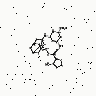 N#CC1CCCN1C(=O)COC12CC3CC(C1)CC(O[C@H]1C[C@@H](O)C[C@@H](C(=O)O)O1)(C3)C2